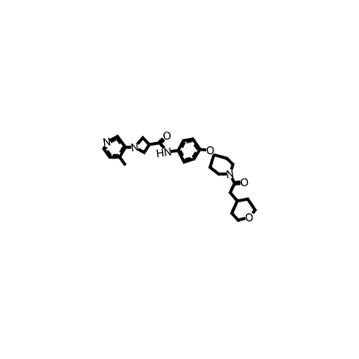 Cc1ccncc1N1CC(C(=O)Nc2ccc(OC3CCN(C(=O)CC4CCOCC4)CC3)cc2)C1